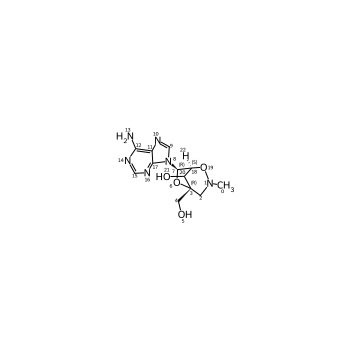 CN1C[C@]2(CO)O[C@@H](n3cnc4c(N)ncnc43)[C@@H](O1)C2O